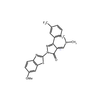 COc1ccc2nc(N3N=C(c4cccc(C(F)(F)F)c4)/C(=C\N(C)C)C3=O)sc2c1